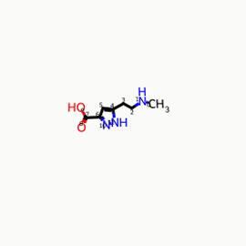 CNCCc1cc(C(=O)O)n[nH]1